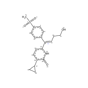 CS(=O)(=O)c1ccc(/C(=C\CCO)c2ccc(C3CC3)c(=O)[nH]2)cc1